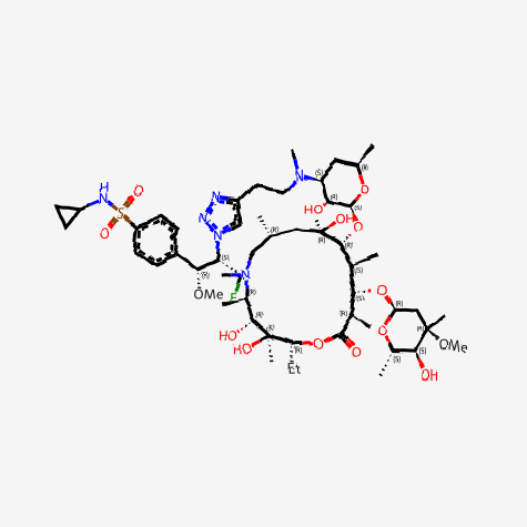 CC[C@H]1OC(=O)[C@H](C)[C@@H](O[C@H]2C[C@@](C)(OC)[C@@H](O)[C@H](C)O2)[C@H](C)[C@@H](O[C@@H]2O[C@H](C)C[C@H](N(C)CCc3cn([C@H](CF)[C@H](OC)c4ccc(S(=O)(=O)NC5CC5)cc4)nn3)[C@H]2O)[C@](C)(O)C[C@@H](C)CN(C)[C@H](C)[C@@H](O)[C@]1(C)O